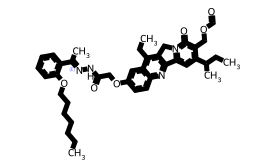 CCCCCCCOc1ccccc1/C(C)=N/NC(=O)COc1ccc2nc3c(c(CC)c2c1)Cn1c-3cc(C(C)CC)c(COC=O)c1=O